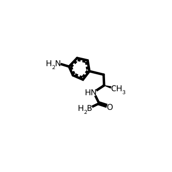 BC(=O)N[C@H](C)Cc1ccc(N)cc1